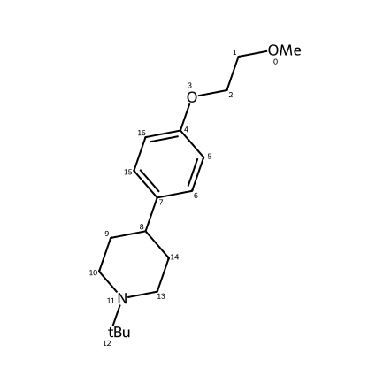 COCCOc1ccc(C2CCN(C(C)(C)C)CC2)cc1